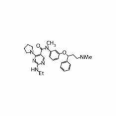 CCNc1ncc(C(=O)N(C)c2cccc(OC(CCNC)c3ccccc3)c2)c(N2CCCC2)n1